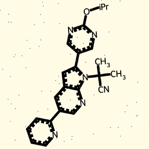 CC(C)Oc1ncc(-c2cc3cc(-c4ccccn4)cnc3n2C(C)(C)C#N)cn1